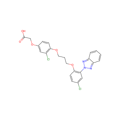 O=C(O)COc1ccc(OCCCOc2ccc(Cl)cc2-n2nc3ccccc3n2)c(Cl)c1